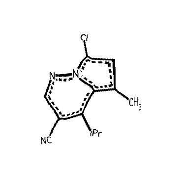 Cc1cc(Cl)n2ncc(C#N)c(C(C)C)c12